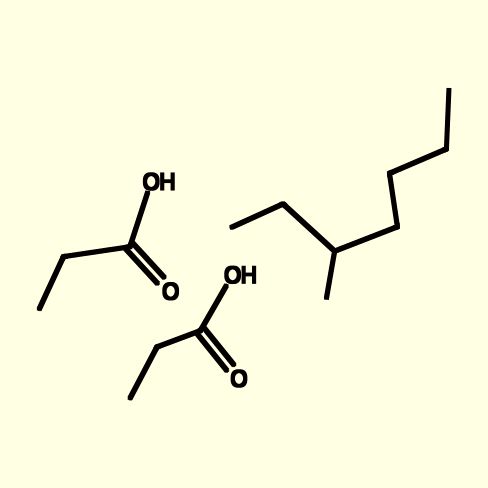 CCC(=O)O.CCC(=O)O.CCCCC(C)CC